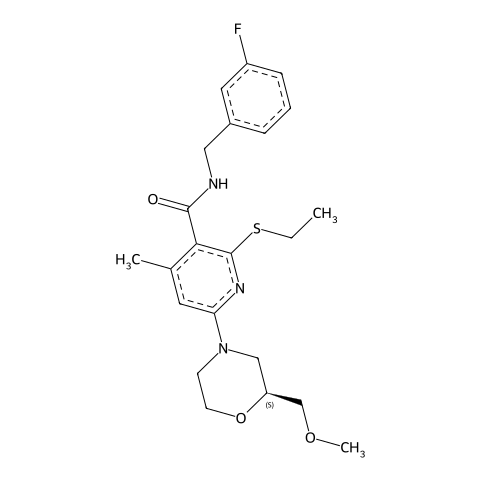 CCSc1nc(N2CCO[C@H](COC)C2)cc(C)c1C(=O)NCc1cccc(F)c1